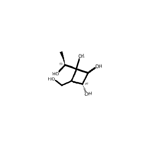 C[C@H](O)C1(O)C(O)[C@H](O)C1CO